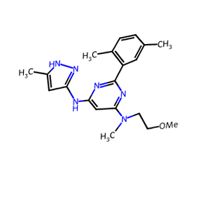 COCCN(C)c1cc(Nc2cc(C)[nH]n2)nc(-c2cc(C)ccc2C)n1